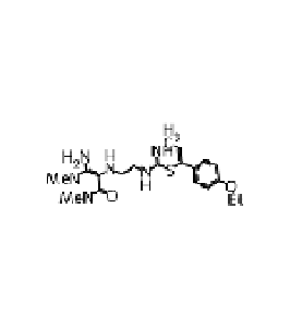 C/C=C(\SC(=N)NCCN/C(C(=O)NC)=C(\N)NC)c1ccc(OCC)cc1